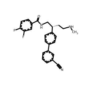 CNCC[C@@H](CNC(=O)c1ccc(F)c(F)c1)c1ccc(-c2cccc(C#N)c2)cc1